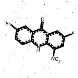 O=c1c2cc(Br)ccc2[nH]c2c([N+](=O)[O-])cc(F)cc12